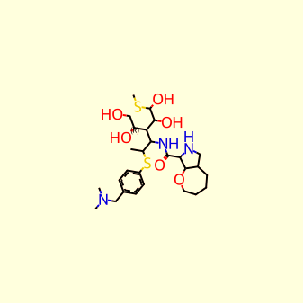 CSC(O)C(O)C(C(NC(=O)C1NCC2CCCCOC21)C(C)Sc1ccc(CN(C)C)cc1)[C@@H](O)CO